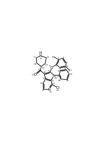 Cc1ccc(F)cc1Oc1c(C(=O)N2CCNCC2)c2ccnc(Cl)c2n1-c1ccccc1